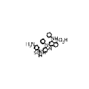 Nc1ccc(Nc2ccc3nc4c5cccc(S(=O)(=O)O)c5c(Nc5ccccc5)cc4[n+](-c4ccccc4)c3c2)c(S(=O)(=O)O)c1